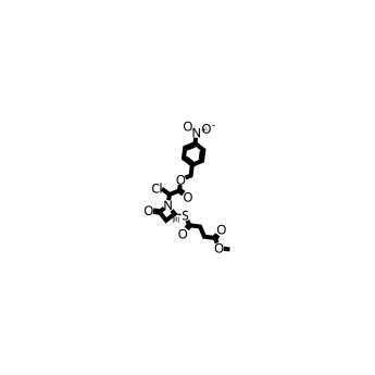 COC(=O)CCC(=O)S[C@@H]1CC(=O)N1C(Cl)C(=O)OCc1ccc([N+](=O)[O-])cc1